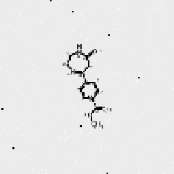 COC(=O)c1ccc(C2=NCCNC(=O)C2)cc1